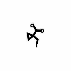 O=C(Cl)C1(CI)CC1